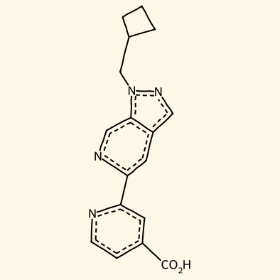 O=C(O)c1ccnc(-c2cc3cnn(CC4CCC4)c3cn2)c1